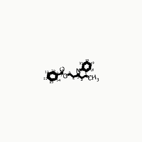 CCCC(CCOC(=O)c1ccccc1)=Nc1ccccc1